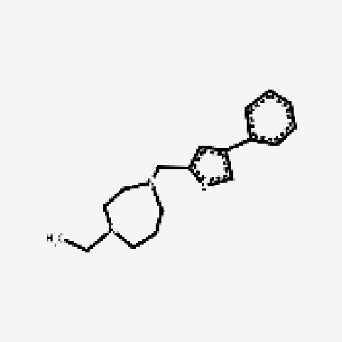 CCN1CCCN(Cc2cc(-c3ccccc3)cs2)CC1